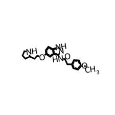 COc1ccc(CC(=O)Nc2n[nH]c3ccc(OCCC4CCCN4)cc23)cc1